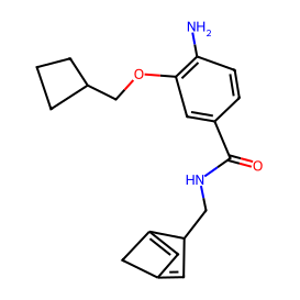 Nc1ccc(C(=O)NCC2C=C3C=C2C3)cc1OCC1CCC1